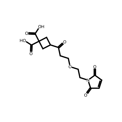 O=C(CCOCCN1C(=O)C=CC1=O)C1CC(C(=O)O)(C(=O)O)C1